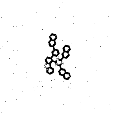 c1cc(-c2ccc3ccccc3c2)cc(-c2ccc3sc4ccccc4c3c2-c2nc(-c3ccc4ccccc4c3)nc(-c3ccc4ccccc4c3)n2)c1